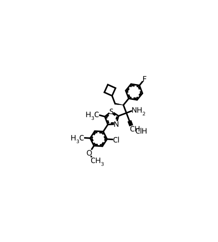 C#CC(N)(c1nc(-c2cc(C)c(OC)cc2Cl)c(C)s1)[C@@H](CC1CCC1)c1ccc(F)cc1.Cl